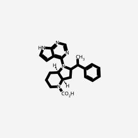 CC(c1ccccc1)C1C[C@@H]2[C@@H](CCCN2C(=O)O)N1c1ncnc2[nH]ccc12